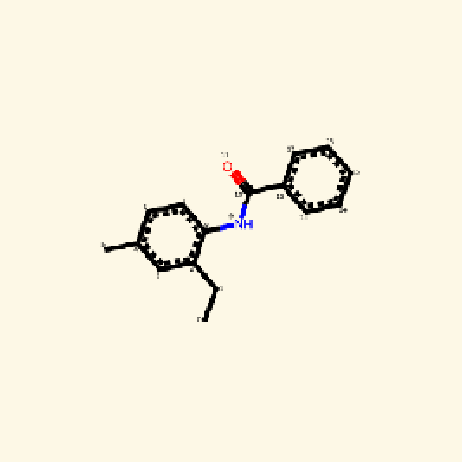 CCc1cc(C)ccc1NC(=O)c1ccccc1